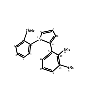 COc1ccccc1-n1cccc1-c1cccc(C(C)(C)C)c1C(C)(C)C